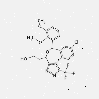 COc1cccc(C2OC(CCO)c3nnc(C(F)(F)F)n3-c3ccc(Cl)cc32)c1OC